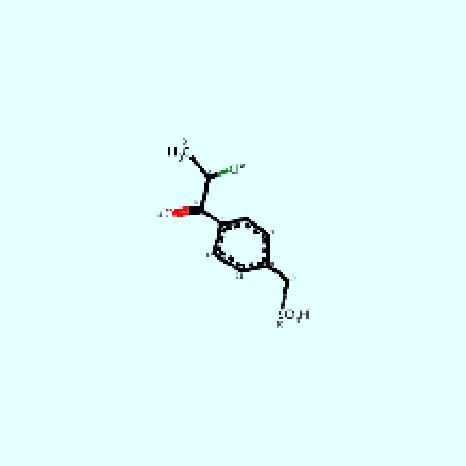 CC(Cl)C(=O)c1ccc(CS(=O)(=O)O)cc1